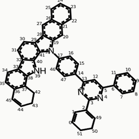 C1=CC(c2nc(-c3ccccc3)cc(-c3ccc(-n4c5cc6ccccc6cc5c5ccc6c7ccc8c(c7[nH]c6c54)CCC=C8)cc3)n2)=CCC1